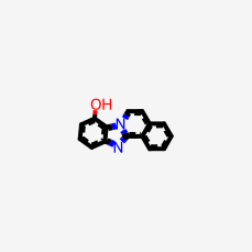 Oc1cccc2nc3c4ccccc4ccn3c12